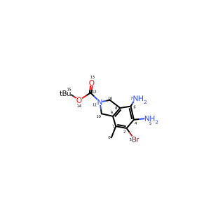 Cc1c(Br)c(N)c(N)c2c1CN(C(=O)OC(C)(C)C)C2